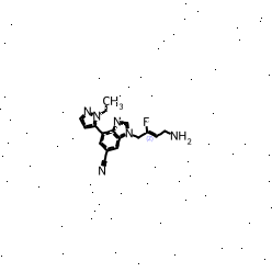 CCn1nccc1-c1cc(C#N)cc2c1ncn2C/C(F)=C/CN